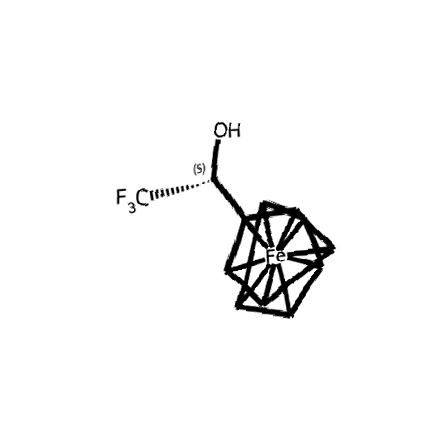 O[C@@H](C(F)(F)F)[C]12[CH]3[CH]4[CH]5[CH]1[Fe]45321678[CH]2[CH]1[CH]6[CH]7[CH]28